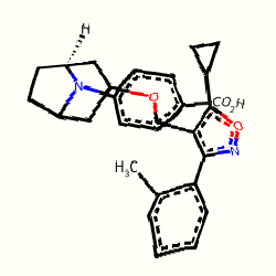 Cc1ccccc1-c1noc(C2CC2)c1COC1CC2CC[C@@H](C1)N2c1ccc(C(=O)O)cc1